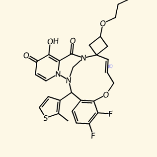 CCCOC1CC2(/C=C/COc3c(ccc(F)c3F)C(c3ccsc3C)N3CN2C(=O)c2c(O)c(=O)ccn23)C1